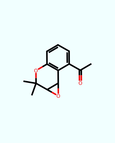 CC(=O)c1cccc2c1C1OC1C(C)(C)O2